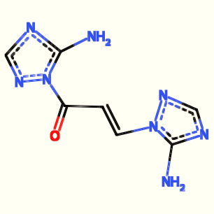 Nc1ncnn1/C=C/C(=O)n1ncnc1N